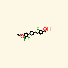 C=CCOc1ccc(C2CCC(CCc3ccc(C(C)O)cc3F)CC2)c(F)c1F